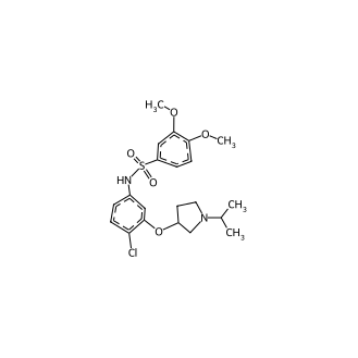 COc1ccc(S(=O)(=O)Nc2ccc(Cl)c(OC3CCN(C(C)C)C3)c2)cc1OC